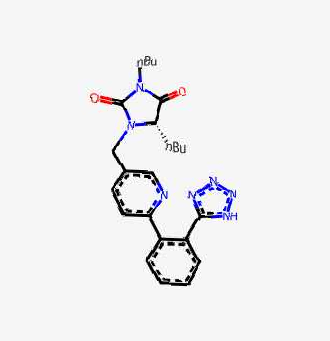 CCCC[C@H]1C(=O)N(CCCC)C(=O)N1Cc1ccc(-c2ccccc2-c2nnn[nH]2)nc1